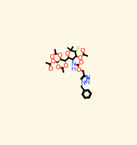 CC(=O)OC[C@@H](OC(C)=O)[C@@H](OC(C)=O)C1OC(C)(C)C(F)C(OC(C)=O)C1NC(=O)OCc1cn(Cc2ccccc2)nn1